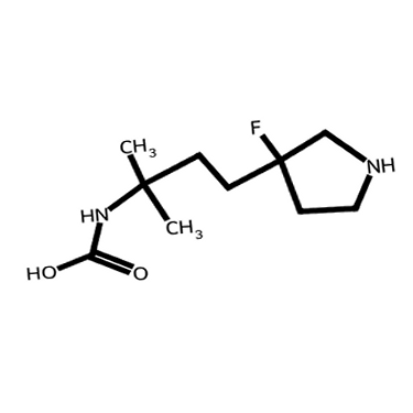 CC(C)(CCC1(F)CCNC1)NC(=O)O